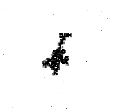 COc1ccc(C(O[C@@H]2C3OC(C4C(=O)N(CCCCCCC(=O)O)C(=O)C43)[C@@H]2OC(C)=O)(c2ccccc2)c2ccc(OC)cc2)cc1